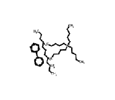 CCCCCCCCC[NH2+]CC.CCCC[CH2][Al-]([CH2]CCCC)([CH2]CCCC)[CH2]CCCC.c1ccc(-c2ccccc2)cc1